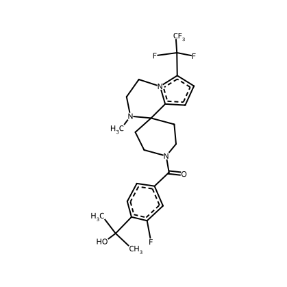 CN1CCn2c(ccc2C(F)(F)C(F)(F)F)C12CCN(C(=O)c1ccc(C(C)(C)O)c(F)c1)CC2